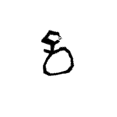 CC1(C2=CC=C[P]2)CCCCCCCCCCC1